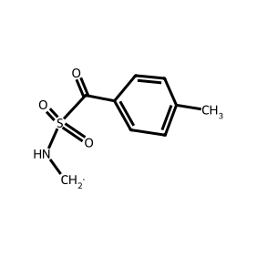 [CH2]NS(=O)(=O)C(=O)c1ccc(C)cc1